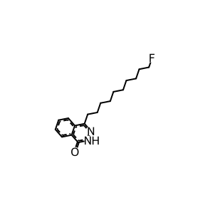 O=c1[nH]nc(CCCCCCCCCCF)c2ccccc12